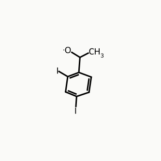 CC([O])c1ccc(I)cc1I